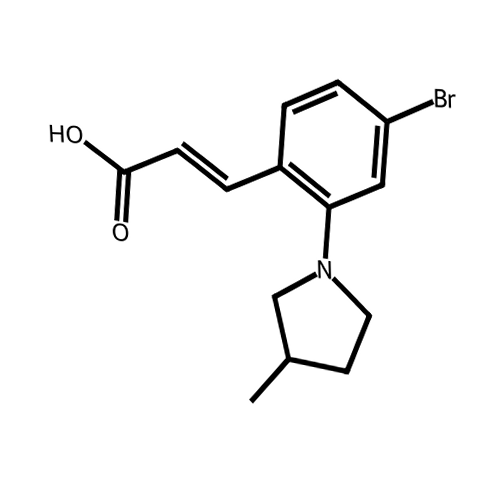 CC1CCN(c2cc(Br)ccc2C=CC(=O)O)C1